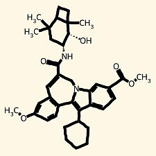 COC(=O)c1ccc2c(C3CCCCC3)c3n(c2c1)CC(C(=O)N[C@@H]1CC(C)(C)C2CCC2(C)[C@@H]1O)=Cc1cc(OC)ccc1-3